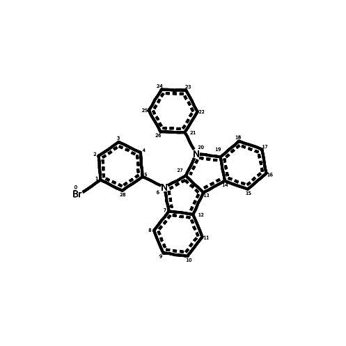 Brc1cccc(-n2c3ccccc3c3c4ccccc4n(-c4ccccc4)c32)c1